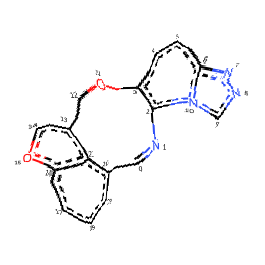 C1=Nc2c(ccc3nncn23)OCc2coc3cccc1c23